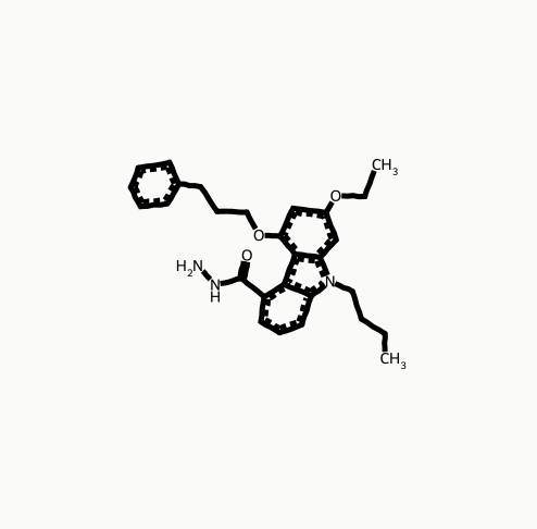 CCCCn1c2cc(OCC)cc(OCCCc3ccccc3)c2c2c(C(=O)NN)cccc21